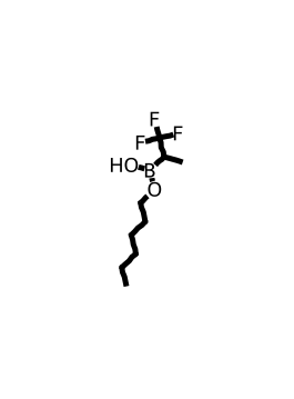 CCCCCCOB(O)C(C)C(F)(F)F